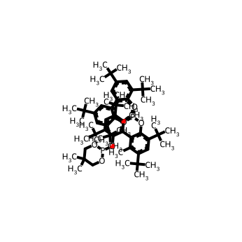 Cc1c(C(C)(C)C)cc(C(C)(C)C)c(OP2OCC(C)(C)CO2)c1-c1c(C)c(C(C)(C)C)cc(C(C)(C)C)c1Op1oc2c(C(C)(C)C)cc(C(C)(C)C)cc2c2cc(C(C)(C)C)cc(C(C)(C)C)c2o1